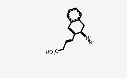 [N-]=[N+]=C1Cc2ccccc2C=C1C=CCC(=O)O